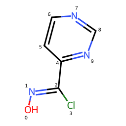 O/N=C(\Cl)c1ccncn1